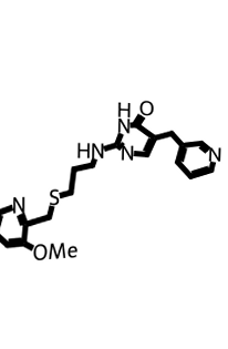 COc1cccnc1CSCCCNc1ncc(Cc2cccnc2)c(=O)[nH]1